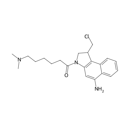 CN(C)CCCCCC(=O)N1CC(CCl)c2c1cc(N)c1ccccc21